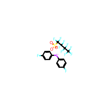 Fc1ccc([I+]c2ccc(F)cc2)cc1.O=S(=O)([O-])C(F)(F)C(F)(F)C(F)(F)C(F)(F)F